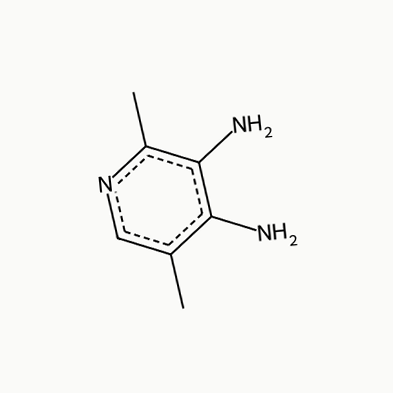 Cc1cnc(C)c(N)c1N